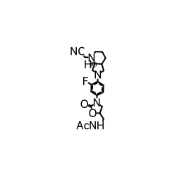 CC(=O)NCC1CN(c2ccc(N3CC4CCCN(CC#N)[C@H]4C3)c(F)c2)C(=O)O1